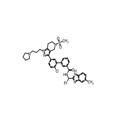 CCC(NC(=O)c1cccc(-c2cc(-c3nn(CCCN4CCCC4)c4c3CN(S(C)(=O)=O)CC4)ccc2Cl)c1)c1nc2cc(C)ccc2[nH]1